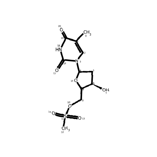 Cc1cn(C2C[C@@H](O)C(COS(C)(=O)=O)O2)c(=O)[nH]c1=O